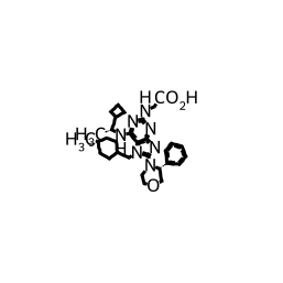 CC1CCC(Cn2c(N3CCOC[C@H]3c3ccccc3)nc3nc(NCC(=O)O)nc(N[C@H](C)C4CCC4)c32)CC1